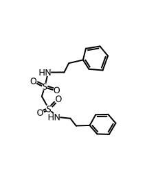 O=S(=O)(CS(=O)(=O)NCCc1ccccc1)NCCc1ccccc1